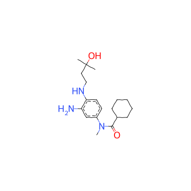 CN(C(=O)C1CCCCC1)c1ccc(NCCC(C)(C)O)c(N)c1